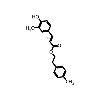 Cc1ccc(CCOC(=O)/C=C/c2ccc(O)c(C)c2)cc1